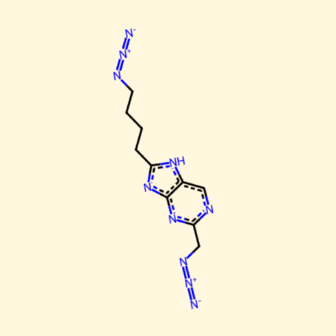 [N-]=[N+]=NCCCCc1nc2nc(CN=[N+]=[N-])ncc2[nH]1